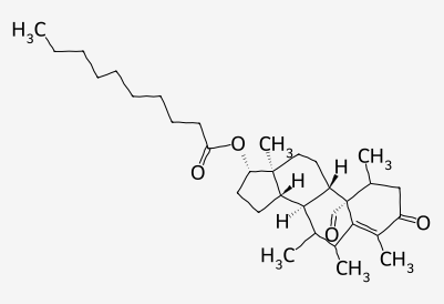 CCCCCCCCCC(=O)O[C@H]1CC[C@H]2[C@@H]3C(C)C(C)C4=C(C)C(=O)CC(C)[C@]4(C=O)[C@H]3CC[C@]12C